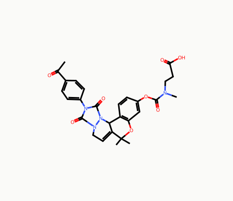 CC(=O)c1ccc(-n2c(=O)n3n(c2=O)C2C(=CC3)C(C)(C)Oc3cc(OC(=O)N(C)CCC(=O)O)ccc32)cc1